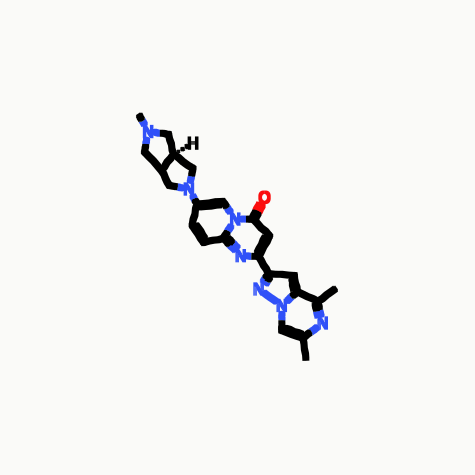 Cc1cn2nc(-c3cc(=O)n4cc(N5CC6CN(C)C[C@H]6C5)ccc4n3)cc2c(C)n1